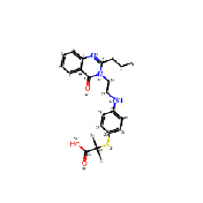 CCCc1nc2ccccc2c(=O)n1CCNc1ccc(SC(C)(C)C(=O)O)cc1